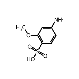 COc1cc([NH])ccc1S(=O)(=O)O